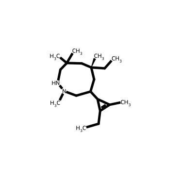 CCC1=C(C)C1C1CN(C)NCC(C)(C)C[C@](C)(CC)C1